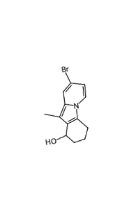 Cc1c2c(n3ccc(Br)cc13)CCCC2O